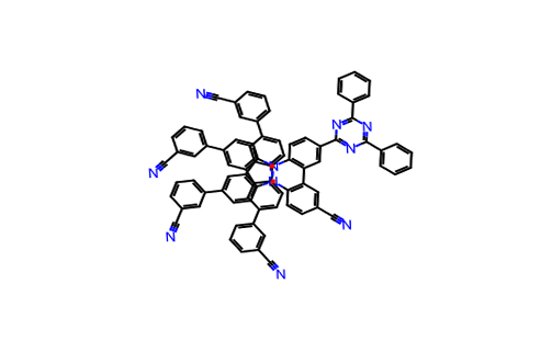 N#Cc1cccc(-c2ccc3c(c2)c2cc(-c4cccc(C#N)c4)ccc2n3-c2ccc(C#N)cc2-c2cc(-c3nc(-c4ccccc4)nc(-c4ccccc4)n3)ccc2-n2c3ccc(-c4cccc(C#N)c4)cc3c3cc(-c4cccc(C#N)c4)ccc32)c1